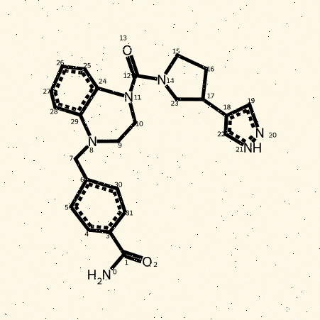 NC(=O)c1ccc(CN2CCN(C(=O)N3CCC(c4cn[nH]c4)C3)c3ccccc32)cc1